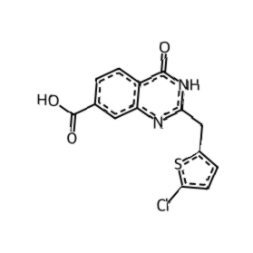 O=C(O)c1ccc2c(=O)[nH]c(Cc3ccc(Cl)s3)nc2c1